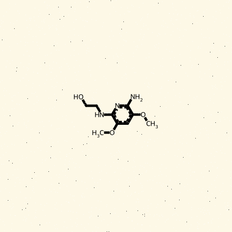 COc1cc(OC)c(NCCO)nc1N